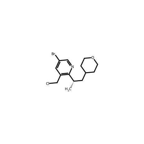 C[C@@H](CC1CCOCC1)c1ncc(Br)cc1CCl